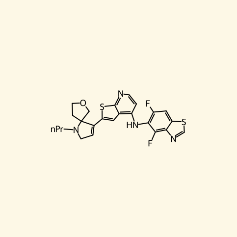 CCCN1CC=C(c2cc3c(Nc4c(F)cc5scnc5c4F)ccnc3s2)C12CCOC2